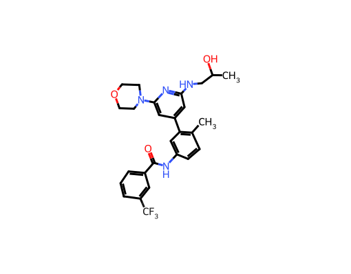 Cc1ccc(NC(=O)c2cccc(C(F)(F)F)c2)cc1-c1cc(NCC(C)O)nc(N2CCOCC2)c1